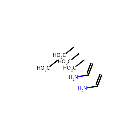 C=CN.C=CN.CC(=O)O.CC(=O)O.CC(=O)O.CC(=O)O